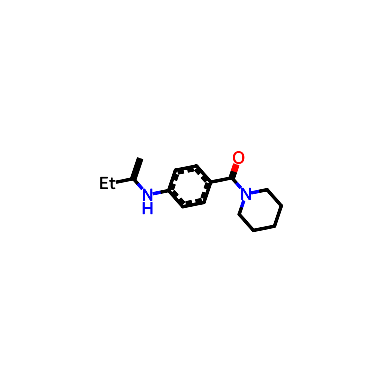 C=C(CC)Nc1ccc(C(=O)N2CCCCC2)cc1